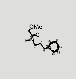 COCC(=O)N(C)CCCc1ccccc1